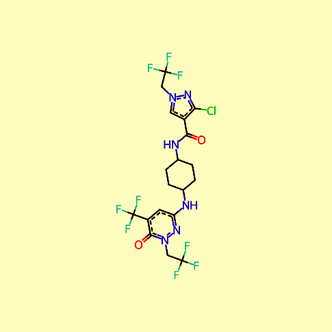 O=C(NC1CCC(Nc2cc(C(F)(F)F)c(=O)n(CC(F)(F)F)n2)CC1)c1cn(CC(F)(F)F)nc1Cl